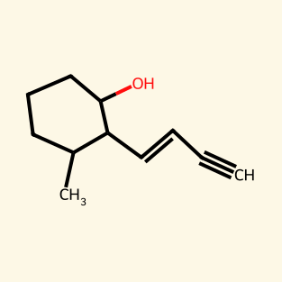 C#CC=CC1C(C)CCCC1O